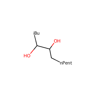 CCCCCCC(O)C(O)C(C)CC